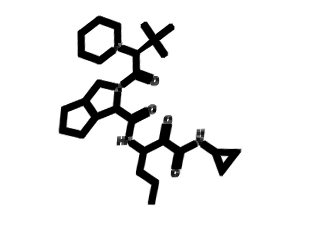 CCCC(NC(=O)C1C2CCCC2CN1C(=O)[C@@H](N1CCCCC1)C(C)(C)C)C(=O)C(=O)NC1CC1